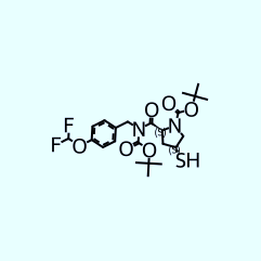 CC(C)(C)OC(=O)N(Cc1ccc(OC(F)F)cc1)C(=O)[C@@H]1C[C@H](S)CN1C(=O)OC(C)(C)C